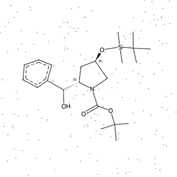 CC(C)(C)OC(=O)N1C[C@H](O[Si](C)(C)C(C)(C)C)C[C@H]1C(O)c1ccccc1